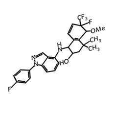 COC1C2=C(C=CC1(F)C(F)(F)F)C(Nc1cccc3c1cnn3-c1ccc(F)cc1)C(O)CC2(C)C